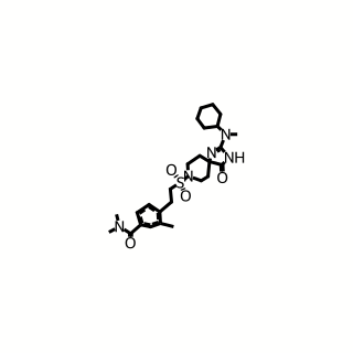 Cc1cc(C(=O)N(C)C)ccc1CCS(=O)(=O)N1CCC2(CC1)N=C(N(C)C1CCCCC1)NC2=O